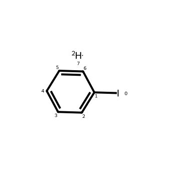 Ic1ccccc1.[2H]